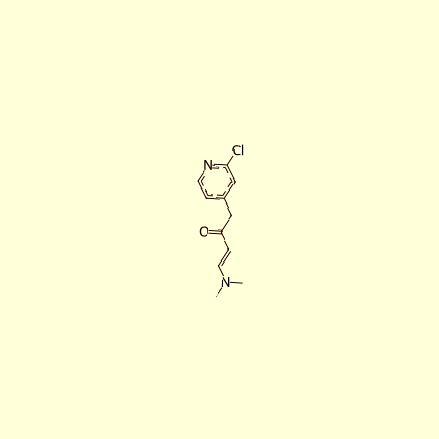 CN(C)C=CC(=O)Cc1ccnc(Cl)c1